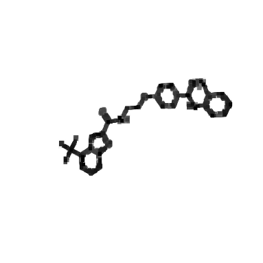 Nc1ccccc1NC(=O)c1ccc(OCCNC(=O)c2cc3c(C(F)(F)F)cccc3o2)cc1